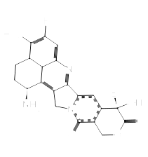 CC[C@@]1(O)C(=O)OCc2c1cc1n(c2=O)CC2=C3C4C(=CC(F)=C(C)C4CC[C@@H]3N)N=C21